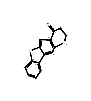 O=C1CCSc2cc3c(cc21)oc1ccccc13